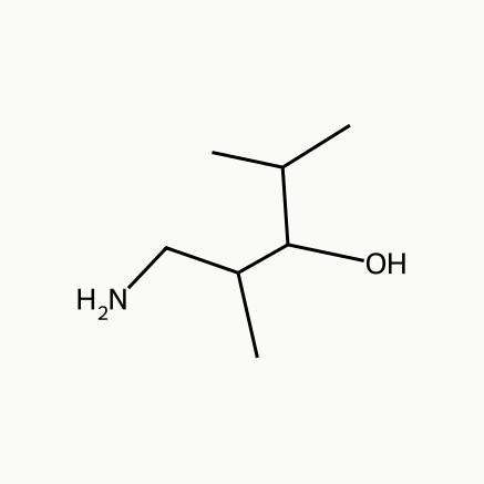 CC(C)C(O)C(C)CN